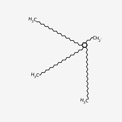 [CH2]CCCc1cc(CCCCCCCCCCCCCCCCCCCCCC)c(CCCCCCCCCCCCCCCCCCCCCC)c(CCCCCCCCCCCCCCCCCCCCCC)c1